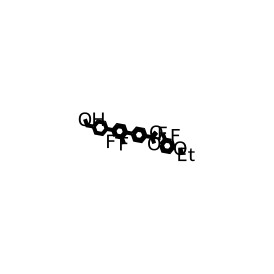 CCOc1ccc(OC(=O)c2ccc(-c3ccc(C4CCC(CO)CC4)c(F)c3F)cc2)c(F)c1F